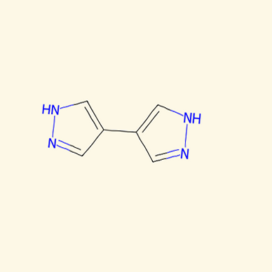 c1n[nH]cc1-c1cn[nH]c1